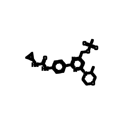 CC1COCCN1c1cc(COS(C)(=O)=O)nc(-c2ccc(NC(=O)NC3CC3)cc2)n1